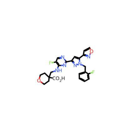 O=C(O)C1(CNc2nc(-c3cc(-c4ccon4)n(Cc4ccccc4F)n3)ncc2F)CCOCC1